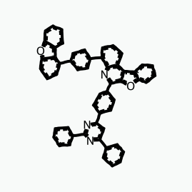 c1ccc(-c2cc(-c3ccc(-c4nc5c(-c6ccc(-c7cccc8oc9ccccc9c78)cc6)cccc5c5c4oc4ccccc45)cc3)nc(-c3ccccc3)n2)cc1